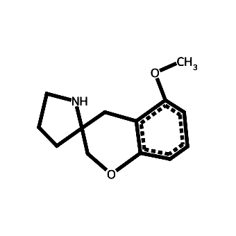 COc1cccc2c1CC1(CCCN1)CO2